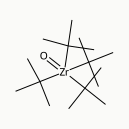 C[C](C)(C)[Zr](=[O])([C](C)(C)C)([C](C)(C)C)[C](C)(C)C